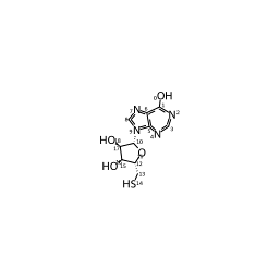 Oc1ncnc2c1ncn2[C@@H]1O[C@H](CS)[C@@H](O)[C@H]1O